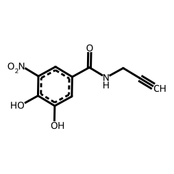 C#CCNC(=O)c1cc(O)c(O)c([N+](=O)[O-])c1